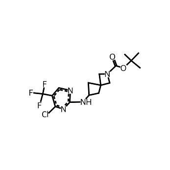 CC(C)(C)OC(=O)N1CC2(CC(Nc3ncc(C(F)(F)F)c(Cl)n3)C2)C1